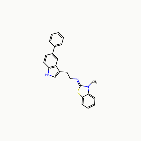 Cn1/c(=N/CCc2c[nH]c3ccc(-c4ccccc4)cc23)sc2ccccc21